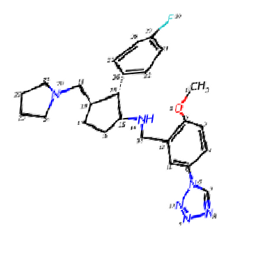 COc1ccc(-n2cnnn2)cc1CN[C@H]1CC[C@@H](CN2CCCC2)[C@@H]1c1ccc(F)cc1